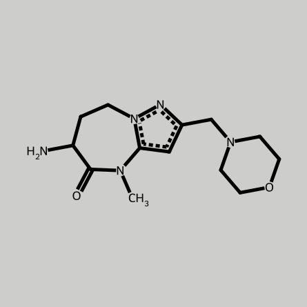 CN1C(=O)C(N)CCn2nc(CN3CCOCC3)cc21